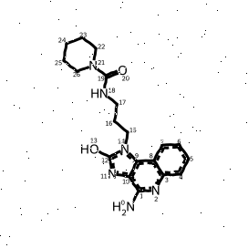 Nc1nc2ccccc2c2c1nc(O)n2CCCNC(=O)N1CCCCC1